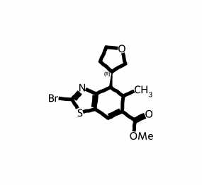 COC(=O)C1=Cc2sc(Br)nc2C([C@H]2CCOC2)C1C